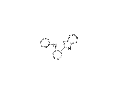 c1ccc(Nc2ccccc2-c2nc3ccccc3s2)cc1